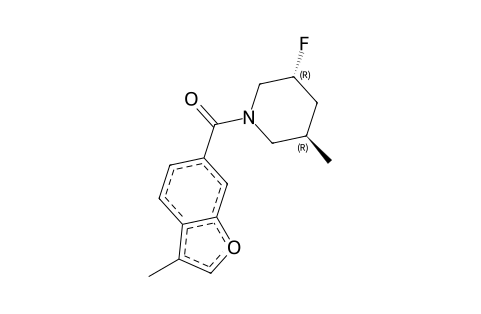 Cc1coc2cc(C(=O)N3C[C@H](C)C[C@@H](F)C3)ccc12